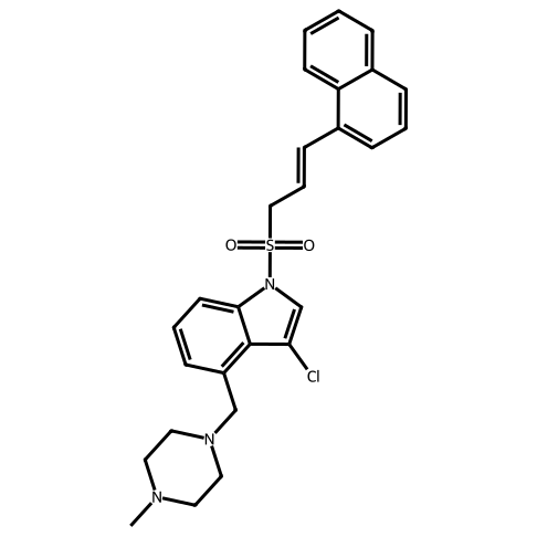 CN1CCN(Cc2cccc3c2c(Cl)cn3S(=O)(=O)CC=Cc2cccc3ccccc23)CC1